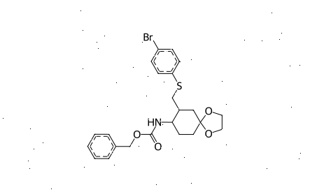 O=C(NC1CCC2(CC1CSc1ccc(Br)cc1)OCCO2)OCc1ccccc1